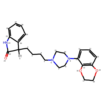 CCC1(CCCCN2CCN(c3cccc4c3OCCO4)CC2)C(=O)Nc2ccccc21